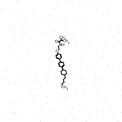 C=C(C)C(=O)NCCOc1ccc(-c2ccc(C3CCC(CCCCC)CC3)cc2)cc1